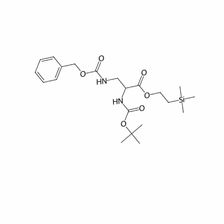 CC(C)(C)OC(=O)NC(CNC(=O)OCc1ccccc1)C(=O)OCC[Si](C)(C)C